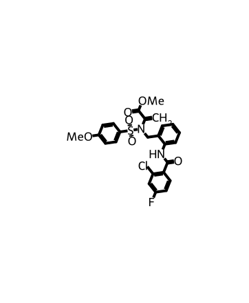 C=C(C(=O)OC)N(Cc1ccccc1NC(=O)c1ccc(F)cc1Cl)S(=O)(=O)c1ccc(OC)cc1